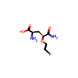 NC(=O)[C@H](CC(N)C(=O)O)OCCF